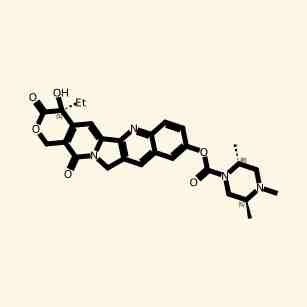 CC[C@@]1(O)C(=O)OCc2c1cc1n(c2=O)Cc2cc3cc(OC(=O)N4C[C@H](C)N(C)C[C@H]4C)ccc3nc2-1